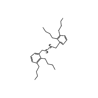 CCCCc1cccc(CSSCc2cccc(CCCC)c2CCCC)c1CCCC